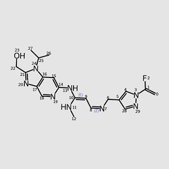 C=C(F)n1cc(C/N=C\C=C(/NC)Nc2cc3c(cn2)nc(CO)n3C(C)C)cn1